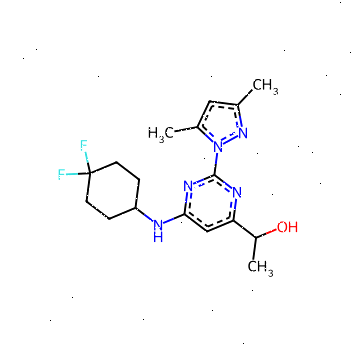 Cc1cc(C)n(-c2nc(NC3CCC(F)(F)CC3)cc(C(C)O)n2)n1